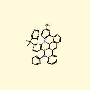 CCCCc1ccc(N2c3cccc4c3B(c3ccc5c(c32)-c2ccccc2C5(C)C)N(c2ccccc2)c2ccccc2-4)c(-c2ccccc2)c1